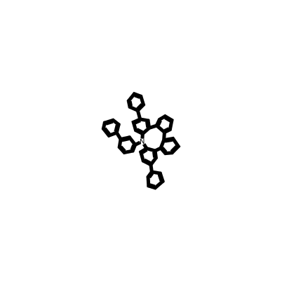 c1ccc(-c2cccc(-n3c4ccc(-c5ccccc5)cc4c4ccccc4c4ccccc4c4cc(-c5ccccc5)ccc43)c2)cc1